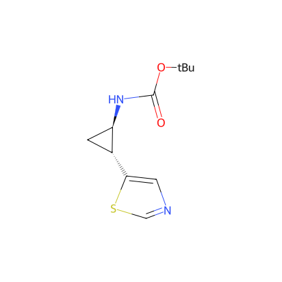 CC(C)(C)OC(=O)N[C@@H]1C[C@H]1c1cncs1